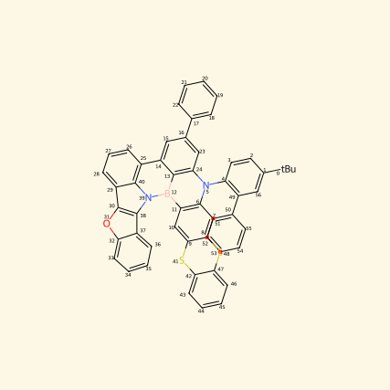 CC(C)(C)c1ccc(N2c3cc4c(cc3B3c5c(cc(-c6ccccc6)cc52)-c2cccc5c6oc7ccccc7c6n3c25)Sc2ccccc2S4)c(-c2ccccc2)c1